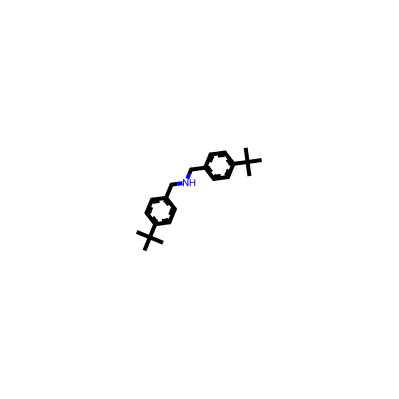 CC(C)(C)c1ccc(CNCc2ccc(C(C)(C)C)cc2)cc1